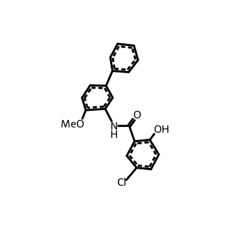 COc1ccc(-c2ccccc2)cc1NC(=O)c1cc(Cl)ccc1O